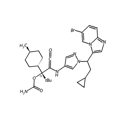 CC(C)(C)[C@](OC(N)=O)(C(=C=O)Nc1cnn(C(CC2CC2)c2cnc3ccc(Br)cn23)c1)[C@H]1CC[C@H](C)CC1